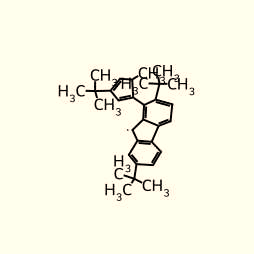 CC1C=C(C(C)(C)C)C=C1c1c(C(C)(C)C)ccc2c1[CH]c1cc(C(C)(C)C)ccc1-2